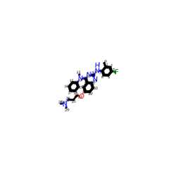 Cc1cc(F)ccc1Nc1nc(N(C)c2ccccc2)c2cc(OCCCN(C)C)ccc2n1